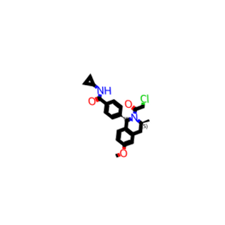 COc1ccc2c(c1)C[C@H](C)N(C(=O)CCl)[C@H]2c1ccc(C(=O)NC2CC2)cc1